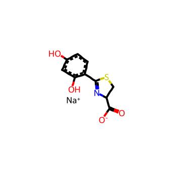 O=C([O-])C1CSC(c2ccc(O)cc2O)=N1.[Na+]